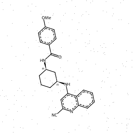 COc1ccc(C(=O)N[C@@H]2CCC[C@H](Nc3cc(C#N)nc4ccccc34)C2)cc1